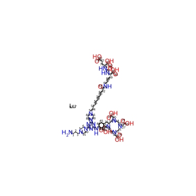 NCCCN1CCN(c2nc(Nc3ccc(CC4CN(CC(=O)O)CCN(CC(=O)O)CCN(CC(=O)O)CCN4CC(=O)O)cc3)nc(N3CCN(CCCCCCCCCCC(=O)NCCCC[C@H](NC(=O)N[C@@H](CCC(=O)O)C(=O)O)C(=O)O)CC3)n2)CC1.[Lu]